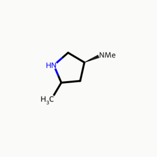 CN[C@@H]1CNC(C)C1